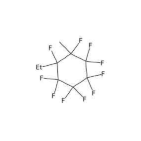 CCC1(F)C(C)(F)C(F)(F)C(F)(F)C(F)(F)C1(F)F